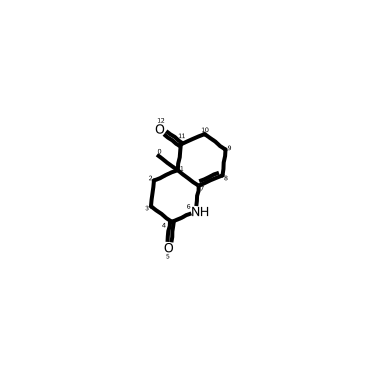 CC12CCC(=O)NC1=CCCC2=O